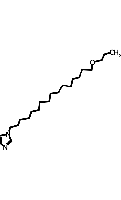 CCCOCCCCCCCCCCCCCCCCn1ccnc1